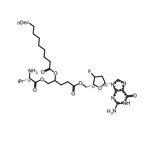 CCCCCCCCCCCCCCCCCC(=O)OC(CCC(=O)OC[C@H]1O[C@@H](n2cnc3c(=O)[nH]c(N)nc32)CC1F)COC(=O)[C@@H](N)C(C)C